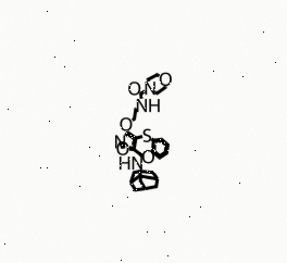 O=C(NC12CC3CC(CC(C3)C1)C2)c1onc(OCCNC(=O)N2CCOCC2)c1Sc1ccccc1